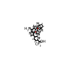 CC(=O)c1c([C@H]2C[C@H]3CC[C@@H](C2)N3C(=O)c2nnc[nH]2)nc2c(-c3ccc([C@H](O)C(F)(F)F)nc3)cnn2c1N